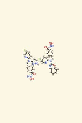 Cn1ccc(N(Cc2ccc(C(=O)NO)cc2)c2ccc(F)cn2)n1.O=C(NO)c1ccc(CN(c2ccc(F)cn2)c2nc3ccccc3o2)cc1